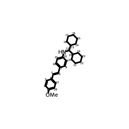 COc1ccc(C=Cc2ccc(NC(C3CCCCC3)C3CCCCC3)cc2)cc1